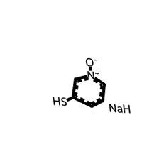 [NaH].[O-][n+]1cccc(S)c1